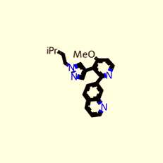 COc1ccnc(-c2ccc3cccnc3c2)c1-c1cnn(CCC(C)C)c1